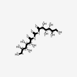 O=C(OC(=O)[C@H](O)[C@@H](O)[C@H](O)[C@H](O)CO)OC(=O)[C@H](O)[C@@H](O)[C@H](O)[C@H](O)CO